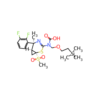 C[C@]1(c2cccc(F)c2F)N=C(N(COCC[Si](C)(C)C)C(=O)O)S[C@@]2(S(C)(=O)=O)C[C@H]21